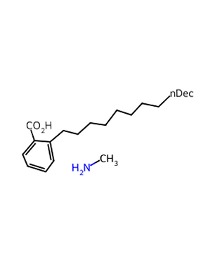 CCCCCCCCCCCCCCCCCCc1ccccc1C(=O)O.CN